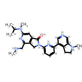 CNCc1nc(N(C)C(C)C)cc2c1CN(c1cccc(-c3cncc4c3CCN4C)n1)C2=O